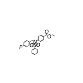 CCOC(=O)c1ccc(N(Cc2ccc(F)cc2)S(=O)(=O)c2ccccc2)cc1